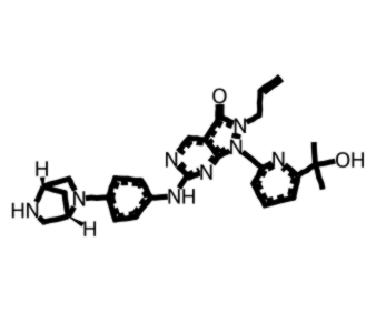 C=CCn1c(=O)c2cnc(Nc3ccc(N4C[C@@H]5C[C@H]4CN5)cc3)nc2n1-c1cccc(C(C)(C)O)n1